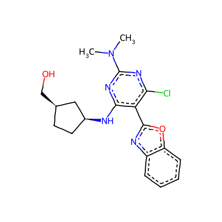 CN(C)c1nc(Cl)c(-c2nc3ccccc3o2)c(N[C@H]2CC[C@@H](CO)C2)n1